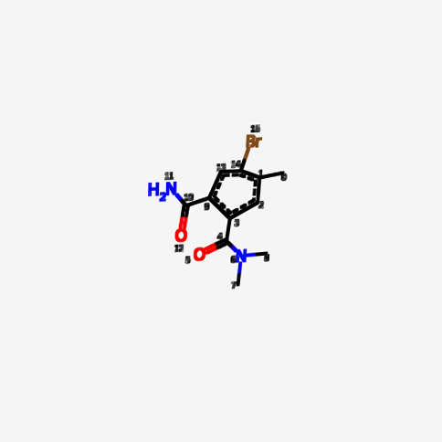 Cc1cc(C(=O)N(C)C)c(C(N)=O)cc1Br